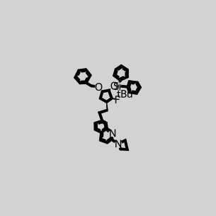 CC(C)(C)[Si](O[C@@H]1[C@@H](F)[C@@H](CCc2ccc3ccc(N4CCC4)nc3c2)C[C@@H]1OCc1ccccc1)(c1ccccc1)c1ccccc1